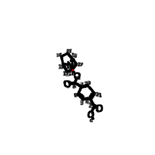 COC(=O)c1ccc(C(=O)OC2CC3CCC(C2)N3C)cc1